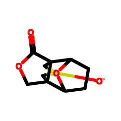 O=C1OCC23C[S+]([O-])CC12C1CCC3O1